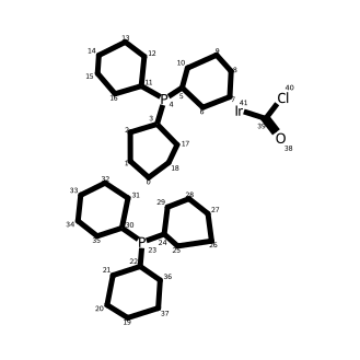 C1CCC(P(C2CCCCC2)C2CCCCC2)CC1.C1CCC(P(C2CCCCC2)C2CCCCC2)CC1.O=[C](Cl)[Ir]